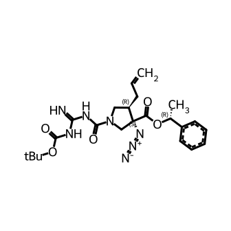 C=CC[C@@H]1CN(C(=O)NC(=N)NC(=O)OC(C)(C)C)C[C@]1(N=[N+]=[N-])C(=O)O[C@H](C)c1ccccc1